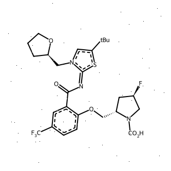 CC(C)(C)c1cn(C[C@H]2CCCO2)c(=NC(=O)c2cc(C(F)(F)F)ccc2OC[C@@H]2C[C@@H](F)CN2C(=O)O)s1